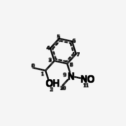 CC(O)c1ccccc1N(C)N=O